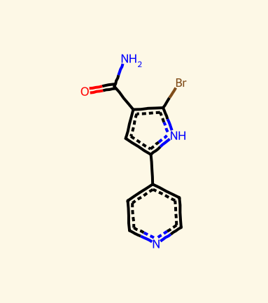 NC(=O)c1cc(-c2ccncc2)[nH]c1Br